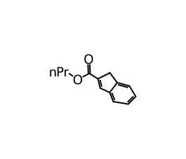 CCCOC(=O)C1=Cc2ccccc2C1